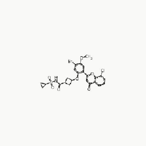 COc1cc(-c2cc(=O)c3cccc(Cl)c3o2)c(OC2CC(C(=O)NS(=O)(=O)C3CC3)C2)cc1Br